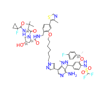 Cc1ncsc1-c1ccc(CNC(=O)[C@@H]2C[C@@H](O)CN2C(=O)[C@H](NC(=O)C2(F)CC2)C(C)(C)C)c(OCCCCCCCn2cc(-c3cnc(N)c4c(-c5ccc(NS(=O)(=O)C(F)F)c(O[C@@H](C)c6ccc(F)cc6)c5)nn(C)c34)cn2)c1